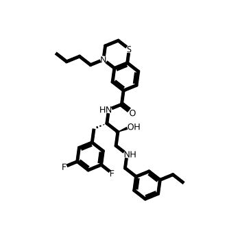 CCCCN1CCSc2ccc(C(=O)N[C@@H](Cc3cc(F)cc(F)c3)[C@@H](O)CNCc3cccc(CC)c3)cc21